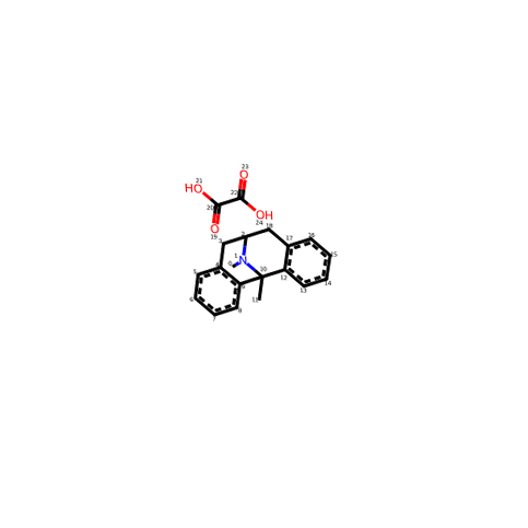 CN1C2Cc3ccccc3C1(C)c1ccccc1C2.O=C(O)C(=O)O